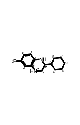 Fc1ccc2c(c1)NCC(C1CCCCC1)N2